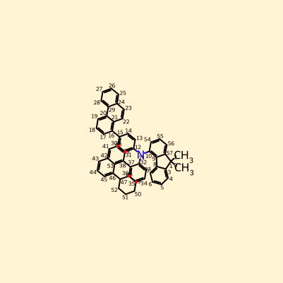 CC1(C)c2ccccc2-c2c(N(c3ccc(-c4cccc5c4ccc4ccccc45)cc3)c3ccccc3-c3cccc4cccc(C5CCCCC5)c34)cccc21